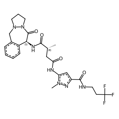 C[C@H](CC(=O)Nc1cc(C(=O)NCCC(F)(F)F)nn1C)C(=O)N[C@@H]1C(=O)N2CCCN2Cc2ccccc21